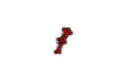 CC12CCCCC1(C)N(c1ccccc1)c1ccc(-c3ccc(-c4ccc5c6c(-c7ccccc7)c7c8ccc(-c9ccc(-c%10ccc%11c(c%10)C%10(C)CCCCC%10(C)N%11c%10ccccc%10)cc9)c9c(-c%10ccc(-c%11ccc%12c(c%11)C%11(C)CCCCC%11(C)N%12c%11ccccc%11)cc%10)ccc(c7c(-c7ccccc7)c6c6cccc4c65)c98)cc3)cc12